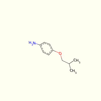 CC(C)COc1ccc(N)cc1